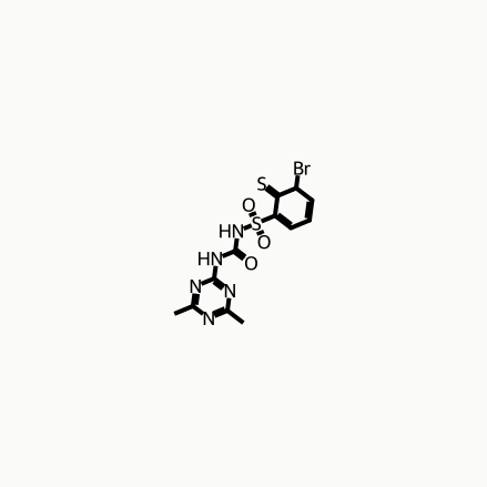 Cc1nc(C)nc(NC(=O)NS(=O)(=O)C2=CC=CC(Br)C2=S)n1